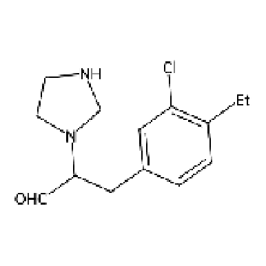 CCc1ccc(CC(C=O)N2CCNC2)cc1Cl